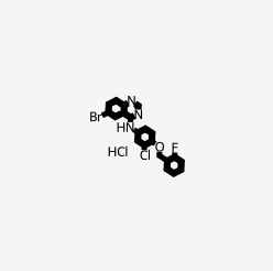 Cl.Fc1ccccc1COc1ccc(Nc2ncnc3ccc(Br)cc23)cc1Cl